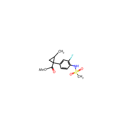 COC(=O)C1(c2ccc(NS(C)(=O)=O)c(F)c2)CC1C